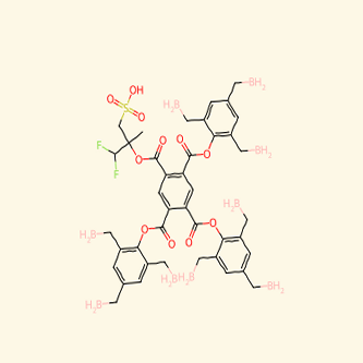 BCc1cc(CB)c(OC(=O)c2cc(C(=O)Oc3c(CB)cc(CB)cc3CB)c(C(=O)OC(C)(CS(=O)(=O)O)C(F)F)cc2C(=O)Oc2c(CB)cc(CB)cc2CB)c(CB)c1